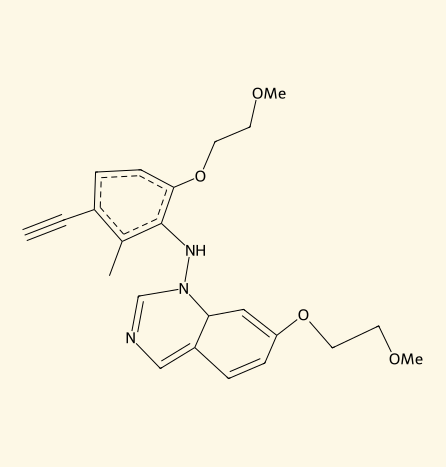 C#Cc1ccc(OCCOC)c(NN2C=NC=C3C=CC(OCCOC)=CC32)c1C